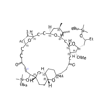 C=C1C[C@@H]2CCC(=O)/C=C/C(O[Si](C)(C)C(C)(C)C)[C@H]3CC[C@H]4O[C@H](CC[C@@H]4O3)CC(=O)C[C@@H]3[C@@H](OC)[C@@H](CC(CC)O[Si](C)(C)C(C)(C)C)O[C@H]3C[C@H]3O[C@@H](CC[C@@H]1O2)C[C@@H](C)C3=C